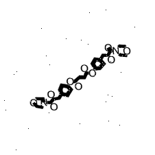 O=C(/C=C/C(=O)Oc1ccc(CC(=O)C(=O)N2CCOCC2)cc1)Oc1ccc(CC(=O)C(=O)N2CCOCC2)cc1